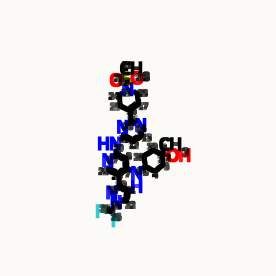 CC1(O)CCC(Nc2cc(Nc3ccnc(C4=CCN(S(C)(=O)=O)CC4)n3)ncc2-c2ccn(C(F)F)n2)CC1